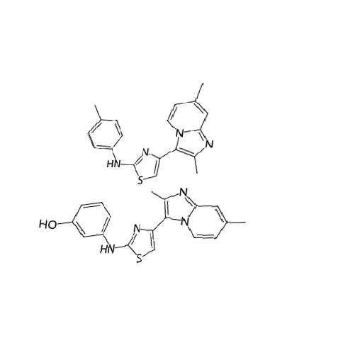 Cc1ccc(Nc2nc(-c3c(C)nc4cc(C)ccn34)cs2)cc1.Cc1ccn2c(-c3csc(Nc4cccc(O)c4)n3)c(C)nc2c1